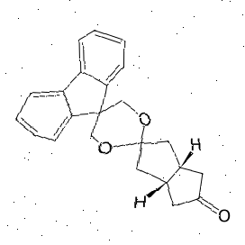 O=C1C[C@@H]2CC3(C[C@@H]2C1)OCC1(CO3)c2ccccc2-c2ccccc21